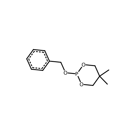 CC1(C)COP(OCc2ccccc2)OC1